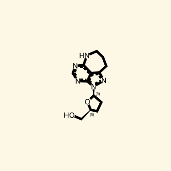 OC[C@@H]1CC[C@H](n2nc3c4c(ncnc42)NCCC3)O1